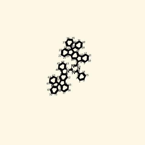 c1ccc(-c2nc(C3c4ccccc4-c4cc5c(cc43)-c3ccccc3C5(c3ccccc3)c3ccccc3)nc(-n3c4ccccc4c4cc5c(cc43)-c3ccccc3C5(c3ccccc3)c3ccccc3)n2)cc1